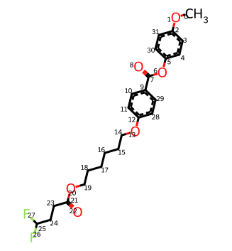 COc1ccc(OC(=O)c2ccc(OCCCCCCOC(=O)CCC(F)F)cc2)cc1